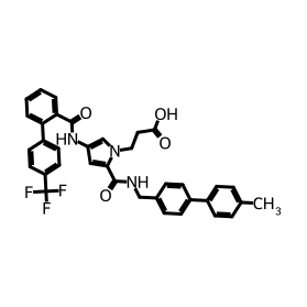 Cc1ccc(-c2ccc(CNC(=O)c3cc(NC(=O)c4ccccc4-c4ccc(C(F)(F)F)cc4)cn3CCC(=O)O)cc2)cc1